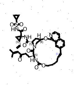 C=C[C@@H]1C[C@]1(NC(=O)[C@@H]1C[C@@H]2CN1C(=O)[C@H](CCC(=O)C=C(C)C)NC(=O)OCCC/C=C/c1ccc3ccnc(c3c1)O2)C(=O)NS(=O)(=O)C1CC1